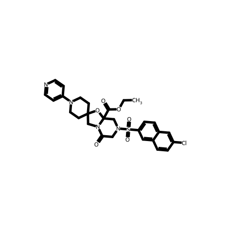 CCOC(=O)C12CN(S(=O)(=O)c3ccc4cc(Cl)ccc4c3)CC(=O)N1CC1(CCN(c3ccncc3)CC1)O2